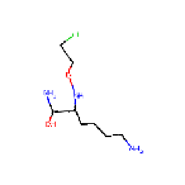 NCCCCC(NOCCCl)C(N)O